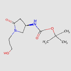 CC(C)(C)OC(=O)N[C@@H]1CC(=O)N(CCO)C1